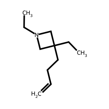 C=CCCC1(CC)CN(CC)C1